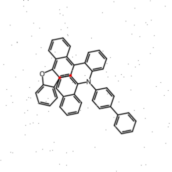 c1ccc(-c2ccc(N(c3ccccc3-c3cc4c5ccccc5oc4c4ccccc34)c3cccc4ccccc34)cc2)cc1